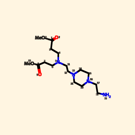 COC(=O)CCN(CCC(=O)OC)CCN1CCN(CCN)CC1